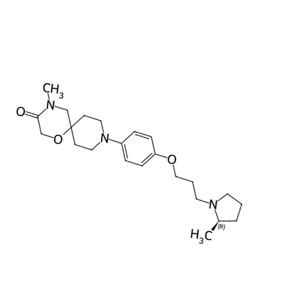 C[C@@H]1CCCN1CCCOc1ccc(N2CCC3(CC2)CN(C)C(=O)CO3)cc1